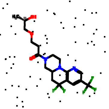 C[C@H](O)COCCC(=O)N1CCN2c3ncc(C(F)(F)F)cc3C(F)(F)CC2C1